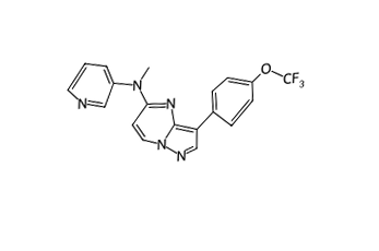 CN(c1cccnc1)c1ccn2ncc(-c3ccc(OC(F)(F)F)cc3)c2n1